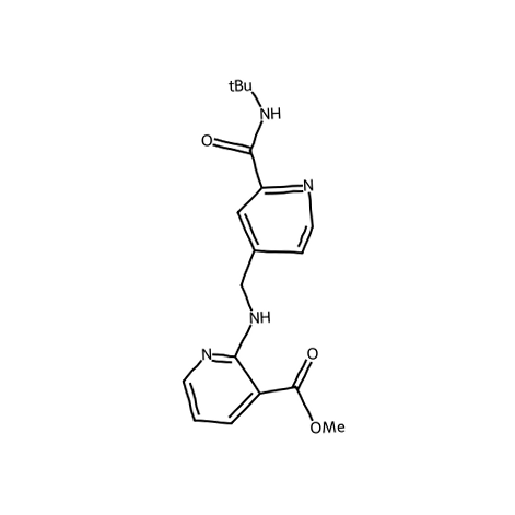 COC(=O)c1cccnc1NCc1ccnc(C(=O)NC(C)(C)C)c1